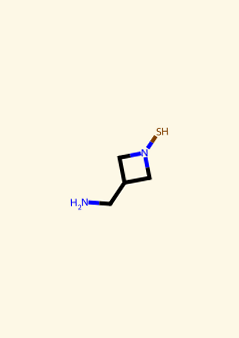 NCC1CN(S)C1